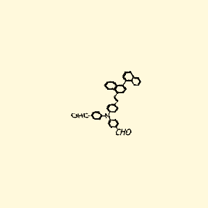 O=Cc1ccc(N(c2ccc(C=O)cc2)c2ccc(C=Cc3ccc(-c4cccc5ccccc45)c4ccccc34)cc2)cc1